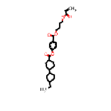 C=CC(=O)OCCCCOC(=O)c1ccc(OC(=O)C2CCC(C3CCC(CC)CC3)CC2)cc1